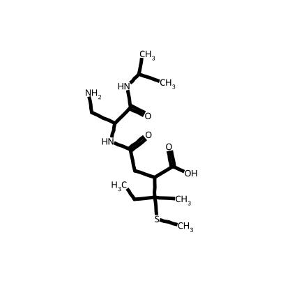 CCC(C)(SC)C(CC(=O)NC(CN)C(=O)NC(C)C)C(=O)O